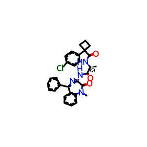 C[C@H](NC(=O)C1(c2ccc(Cl)cc2)CCC1)C(=O)N[C@H]1N=C(c2ccccc2)c2ccccc2N(C)C1=O